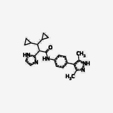 Cc1n[nH]c(C)c1-c1ccc(NC(=O)C(c2ncc[nH]2)C(C2CC2)C2CC2)cc1